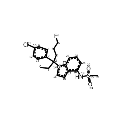 CCC(CCCF)(c1ccc(Cl)cc1)n1ccc2c(NS(C)(=O)=O)cccc21